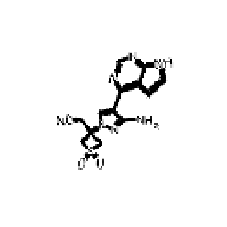 N#CCC1(n2cc(-c3ncnc4[nH]ccc34)c(N)n2)CS(=O)(=O)C1